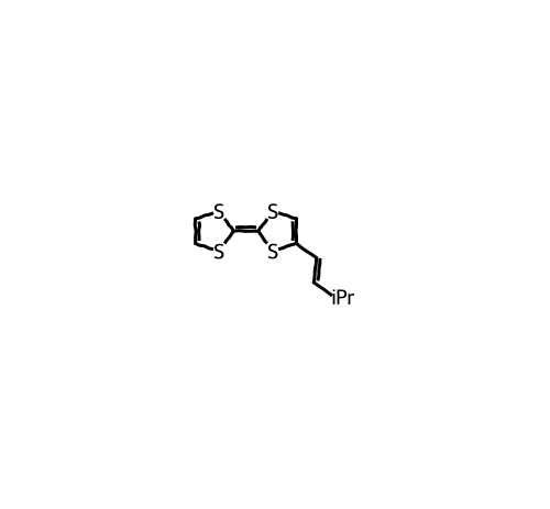 CC(C)/C=C/C1=CSC(=C2SC=CS2)S1